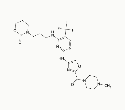 CN1CCN(C(=O)c2nc(Nc3ncc(C(F)(F)F)c(NCCCN4CCCOC4=O)n3)co2)CC1